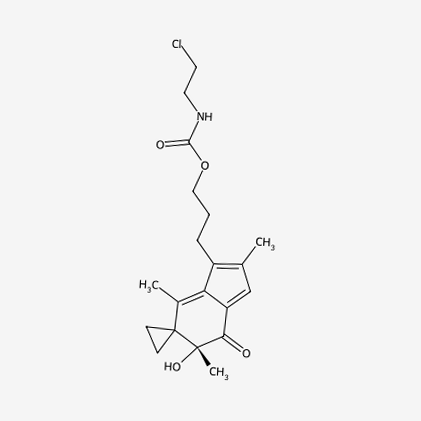 CC1=C(CCCOC(=O)NCCCl)C2=C(C)C3(CC3)[C@@](C)(O)C(=O)C2=C1